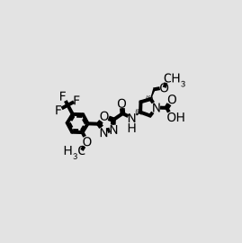 COC[C@@H]1C[C@@H](NC(=O)c2nnc(-c3cc(C(F)(F)F)ccc3OC)o2)CN1C(=O)O